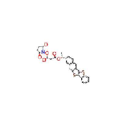 CC(OC(=O)CC(=O)ON1C(=O)CCC1=O)c1ccc2cc3c(cc2c1)sc1c2ccccc2sc31